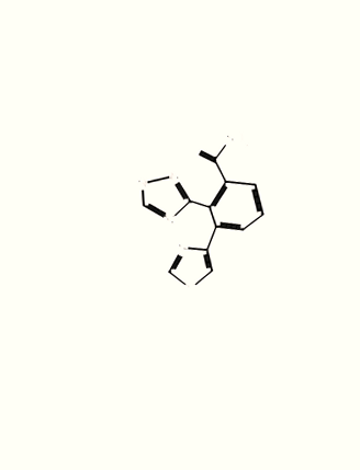 NC(=O)c1cccc(-c2cscn2)c1-c1nc[nH]n1